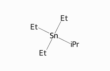 C[CH2][Sn]([CH2]C)([CH2]C)[CH](C)C